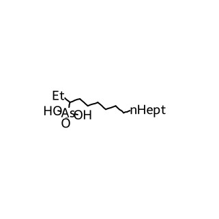 CCCCCCCCCCCCCC(CC)[As](=O)(O)O